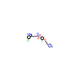 CN1CCN(CCCOc2ccc(S(=O)(=O)NCCCc3c[nH]c4ccc(Cl)cc34)cc2F)CC1